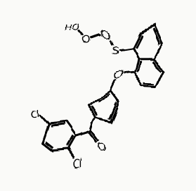 O=C(c1ccc(Oc2cccc3cccc(SOOO)c23)cc1)c1cc(Cl)ccc1Cl